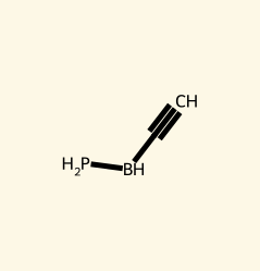 C#CBP